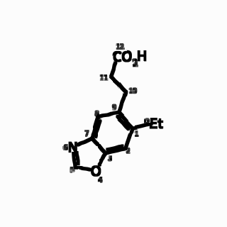 CCc1cc2ocnc2cc1CCC(=O)O